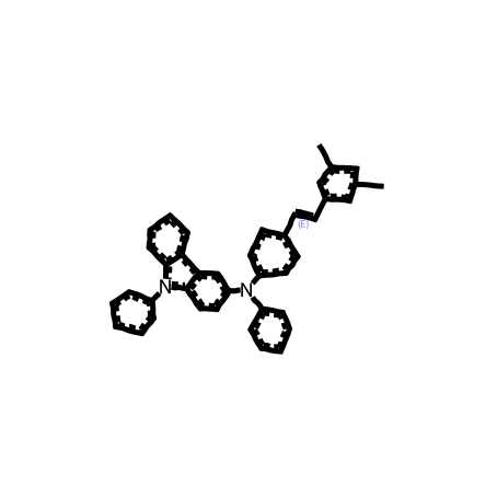 Cc1cc(C)cc(/C=C/c2ccc(N(c3ccccc3)c3ccc4c(c3)c3ccccc3n4-c3ccccc3)cc2)c1